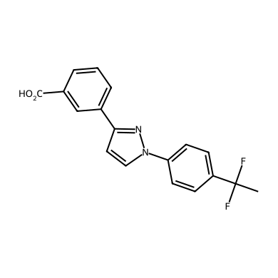 CC(F)(F)c1ccc(-n2ccc(-c3cccc(C(=O)O)c3)n2)cc1